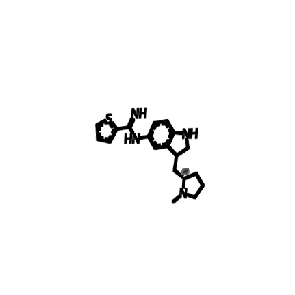 CN1CCC[C@@H]1CC1CNc2ccc(NC(=N)c3cccs3)cc21